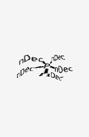 CCCCCCCCCCP(CCCCCCCCCC)(CCCCCCCCCC)(CCCCCCCCCC)CCCCCCCCCC